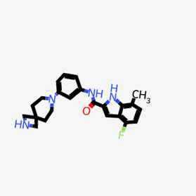 Cc1ccc(F)c2cc(C(=O)Nc3cccc(N4CCC5(CC4)CNC5)c3)[nH]c12